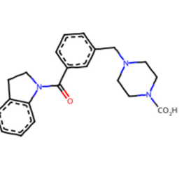 O=C(O)N1CCN(Cc2cccc(C(=O)N3CCc4ccccc43)c2)CC1